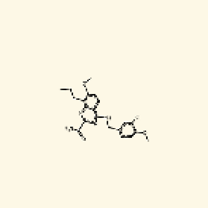 CCCc1c(OC)[c]cc2c(NCc3ccc(OC)c(Cl)c3)nc(C(N)=O)nc12